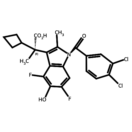 Cc1c([C@](C)(C(=O)O)C2CCC2)c2c(F)c(O)c(F)cc2n1C(=O)c1ccc(Cl)c(Cl)c1